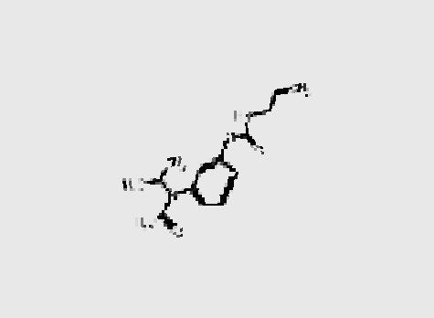 C=CCNC(=O)Oc1cccc(N(C(C)=O)C(C)C)c1